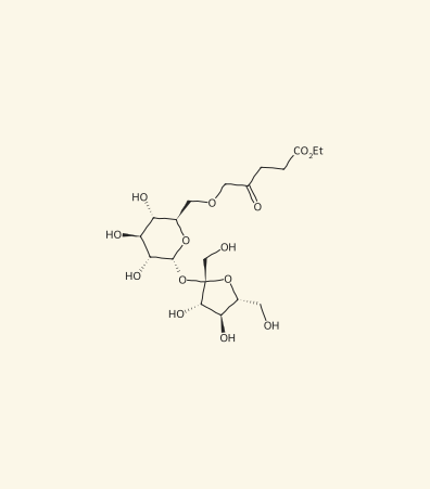 CCOC(=O)CCC(=O)COC[C@H]1O[C@H](O[C@]2(CO)O[C@H](CO)[C@@H](O)[C@@H]2O)[C@H](O)[C@@H](O)[C@@H]1O